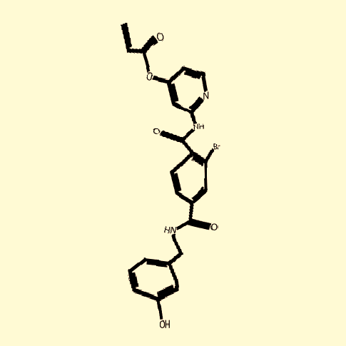 C=CC(=O)Oc1ccnc(NC(=O)c2ccc(C(=O)NCc3cccc(O)c3)cc2Br)c1